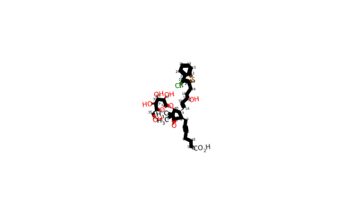 CC1(C)C(=O)[C@H](CC#CCCCC(=O)O)[C@@H](/C=C/C(O)CCc2sc3ccccc3c2Cl)[C@@H]1OC1O[C@H](CO)[C@@H](O)[C@H](O)[C@H]1O